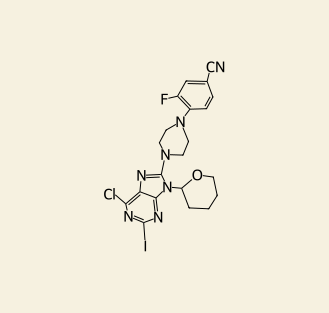 N#Cc1ccc(N2CCN(c3nc4c(Cl)nc(I)nc4n3C3CCCCO3)CC2)c(F)c1